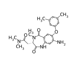 Cc1cc(C)cc(Oc2cc3c(cc2N)NC(=O)[C@H](CC(=O)N(C)C)N(C)C3=O)c1